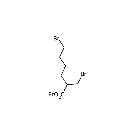 CCOC(=O)C(CBr)CCCCBr